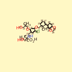 Cc1c(COc2cc(OC[C@@H](C)CO)c(CN[C@](C)(CO)C(=O)O)cc2Cl)cccc1-c1ccc2c(c1)OCCO2